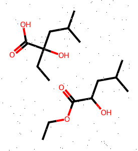 CCC(O)(CC(C)C)C(=O)O.CCOC(=O)C(O)CC(C)C